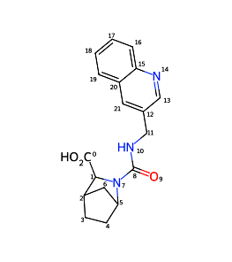 O=C(O)C1C2CCC(C2)N1C(=O)NCc1cnc2ccccc2c1